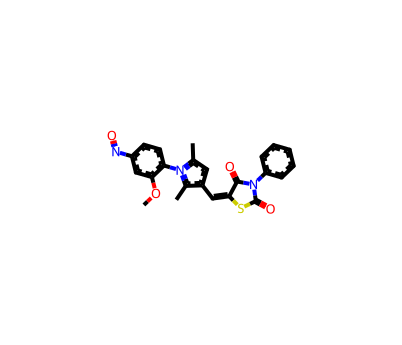 COc1cc(N=O)ccc1-n1c(C)cc(C=C2SC(=O)N(c3ccccc3)C2=O)c1C